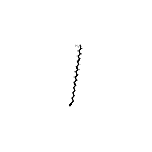 C#CCCCCCCC=CCC=CCC=CCC=CCCCCN